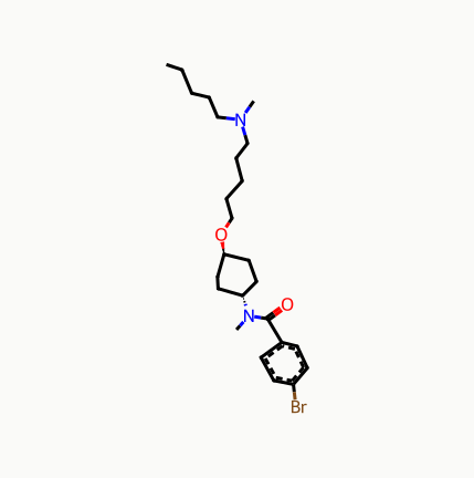 CCCCCN(C)CCCCCO[C@H]1CC[C@H](N(C)C(=O)c2ccc(Br)cc2)CC1